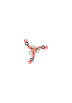 COc1ccc(COCC(Cl)OB(OC(Cl)COCc2ccc(OC)cc2)OC(Cl)COCc2ccc(OC)cc2)cc1